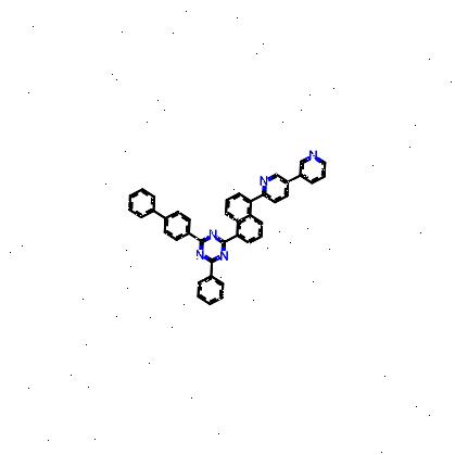 c1ccc(-c2ccc(-c3nc(-c4ccccc4)nc(-c4cccc5c(-c6ccc(-c7cccnc7)cn6)cccc45)n3)cc2)cc1